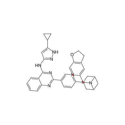 c1ccc2c(Nc3cc(C4CC4)[nH]n3)nc(-c3ccc(N4CC5CC(C4)N5Cc4ccc5c(c4)CCO5)nc3)nc2c1